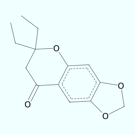 CCC1(CC)CC(=O)c2cc3c(cc2O1)OCO3